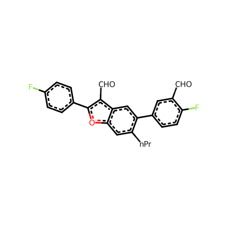 CCCc1cc2oc(-c3ccc(F)cc3)c(C=O)c2cc1-c1ccc(F)c(C=O)c1